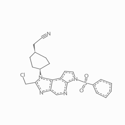 N#CC[C@H]1CC[C@@H](n2c(CCl)nc3cnc4c(ccn4S(=O)(=O)c4ccccc4)c32)CC1